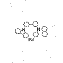 CC(C)(C)c1ccc(N(c2cccc(-c3cccc(-n4c5ccccc5c5ccccc54)c3)c2)c2cccc3ccccc23)cc1